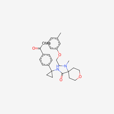 COC(=O)c1ccc(C2(NC(=O)C3(N(C)CCOc4cccc(C)c4)CCOCC3)CC2)cc1